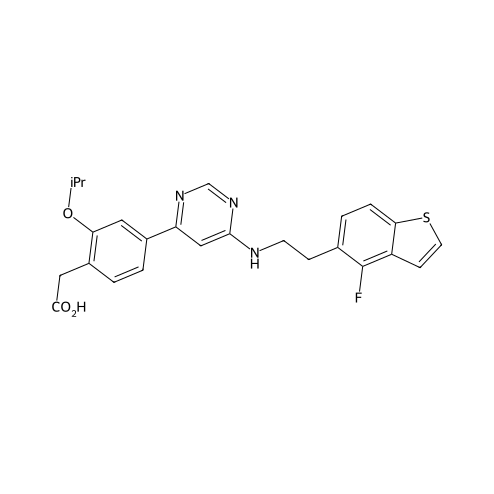 CC(C)Oc1cc(-c2cc(NCCc3ccc4sccc4c3F)ncn2)ccc1CC(=O)O